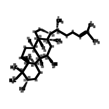 CC(C)=CCC[C@@H](C)[C@H]1CC[C@H]2[C@@H]3CC=C4C(C)(C)[C@@H](O)CC[C@]4(C)[C@H]3[C@H](O)C[C@]12C